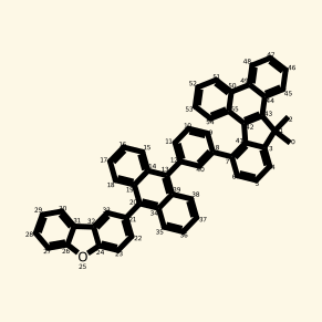 CC1(C)c2cccc(-c3cccc(-c4c5ccccc5c(-c5ccc6oc7ccccc7c6c5)c5ccccc45)c3)c2-c2c1c1ccccc1c1ccccc21